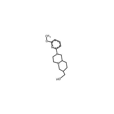 COc1cccc(N2CCN3CC(CO)CCC3C2)n1